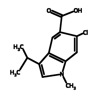 CC(C)c1cn(C)c2cc(Cl)c(C(=O)O)cc12